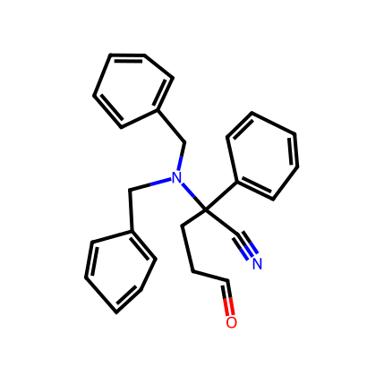 N#CC(CCC=O)(c1ccccc1)N(Cc1ccccc1)Cc1ccccc1